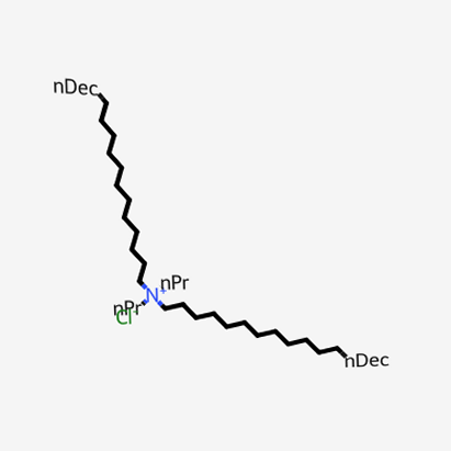 CCCCCCCCCCCCCCCCCCCCCC[N+](CCC)(CCC)CCCCCCCCCCCCCCCCCCCCCC.[Cl-]